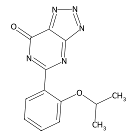 CC(C)Oc1ccccc1C1=NC(=O)C2=NN=NC2=N1